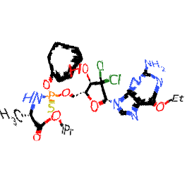 CCOc1nc(N)nc2c1ncn2[C@@H]1O[C@H](CO[P@@](=S)(N[C@@H](C)C(=O)OC(C)C)Oc2ccccc2)[C@@H](O)C1(Cl)Cl